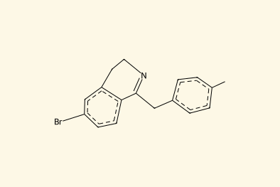 Cc1ccc(CC2=NCCc3cc(Br)ccc32)cc1